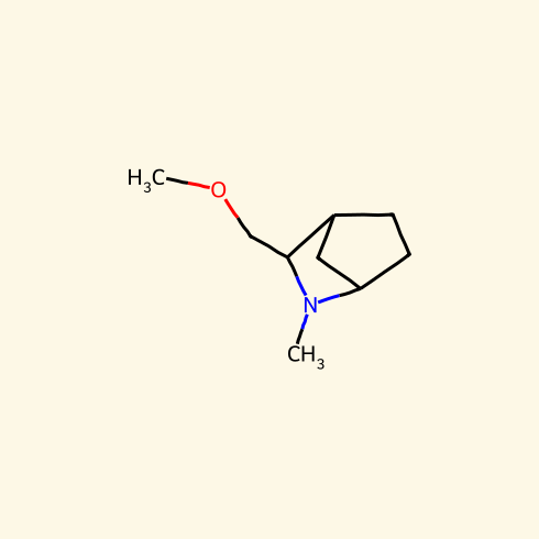 COCC1C2CCC(C2)N1C